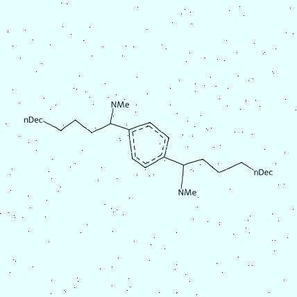 CCCCCCCCCCCCCC(NC)c1ccc(C(CCCCCCCCCCCCC)NC)cc1